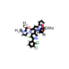 COC(=O)N1CCC[C@@H]1c1cc2c(O[C@@H](C)[C@@H]3CCCN3C)nc3c(F)c(-c4cccc(Cl)c4Cl)ncc3c2n1[C@H]1[C@H]2CN[C@@H]1C2